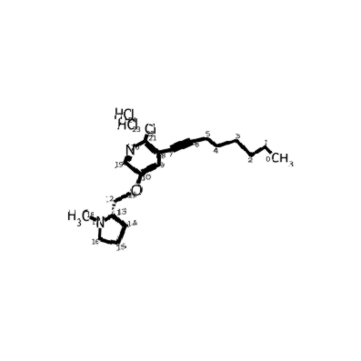 CCCCCCC#Cc1cc(OC[C@@H]2CCCN2C)cnc1Cl.Cl.Cl